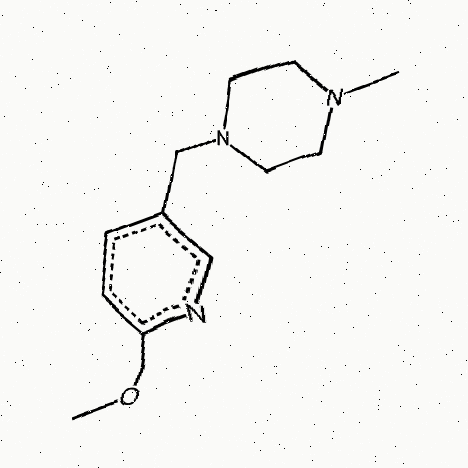 COc1ccc(CN2CCN(C)CC2)cn1